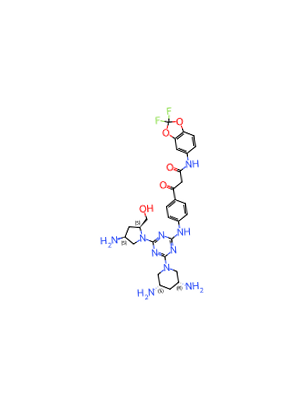 N[C@@H]1C[C@H](N)CN(c2nc(Nc3ccc(C(=O)CC(=O)Nc4ccc5c(c4)OC(F)(F)O5)cc3)nc(N3C[C@@H](N)C[C@H]3CO)n2)C1